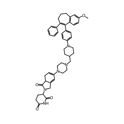 COc1ccc2c(c1)CCCC(c1ccccc1)=C2c1ccc(N2CCC(CN3CCN(C4=CCC5C(=O)N(C6CCC(=O)NC6=O)CC5=C4)CC3)CC2)cc1